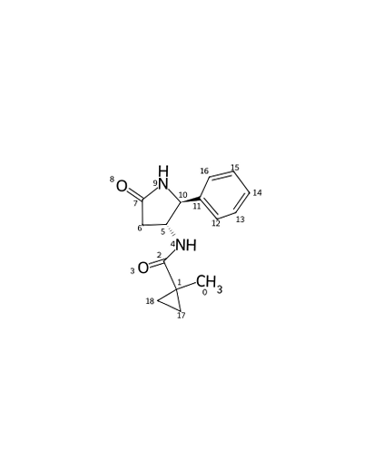 CC1(C(=O)N[C@@H]2CC(=O)N[C@H]2c2ccccc2)CC1